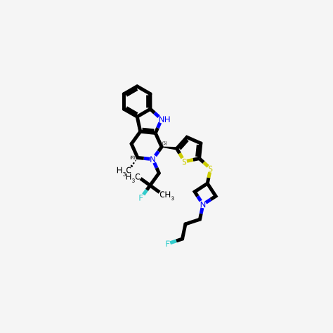 C[C@@H]1Cc2c([nH]c3ccccc23)[C@@H](c2ccc(SC3CN(CCCF)C3)s2)N1CC(C)(C)F